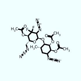 CC(=O)O[C@H]1[C@H](O[C@H]2O[C@H](CN=[N+]=[N-])[C@@H](OC(C)=O)C(F)(F)C2N=[N+]=[N-])[C@@H](C)CC(N=[N+]=[N-])[C@@H]1OC(C)=O